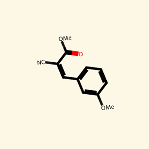 COC(=O)C(C#N)=Cc1cccc(OC)c1